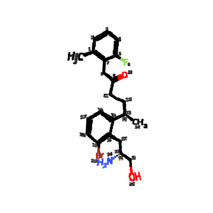 Cc1cccc(F)c1CC(=O)CC[C@@H](C)c1cccc(Br)c1C[C@@H](N)CO